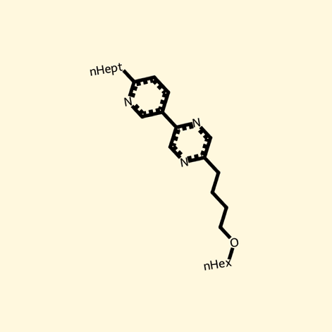 CCCCCCCc1ccc(-c2cnc(CCCCOCCCCCC)cn2)cn1